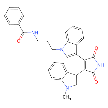 Cn1cc(C2=C(c3cn(CCCNC(=O)c4ccccc4)c4ccccc34)C(=O)NC2=O)c2ccccc21